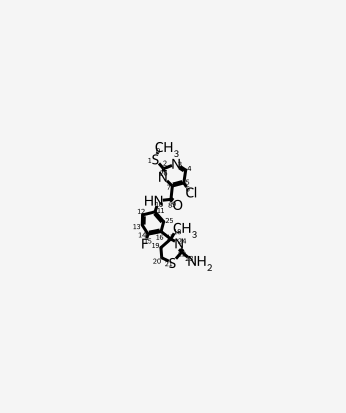 CSc1ncc(Cl)c(C(=O)Nc2ccc(F)c(C3(C)CCSC(N)=N3)c2)n1